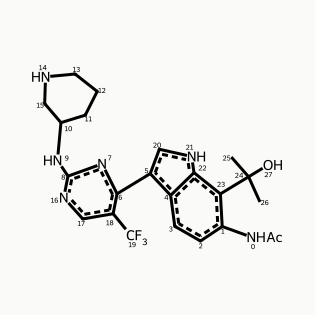 CC(=O)Nc1ccc2c(-c3nc(NC4CCCNC4)ncc3C(F)(F)F)c[nH]c2c1C(C)(C)O